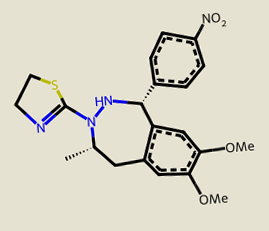 COc1cc2c(cc1OC)[C@@H](c1ccc([N+](=O)[O-])cc1)NN(C1=NCCS1)[C@@H](C)C2